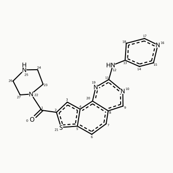 O=C(c1cc2c(ccc3cnc(Nc4ccncc4)nc32)s1)N1CCNCC1